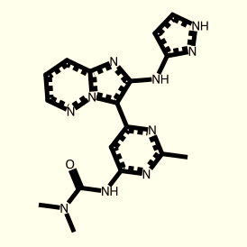 Cc1nc(NC(=O)N(C)C)cc(-c2c(Nc3cc[nH]n3)nc3cccnn23)n1